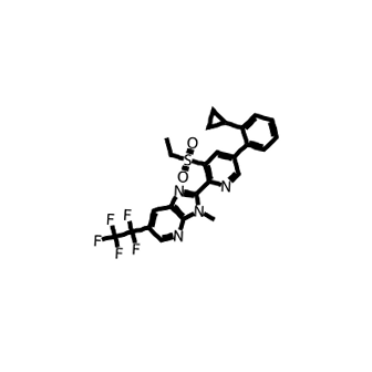 CCS(=O)(=O)c1cc(-c2ccccc2C2CC2)cnc1-c1nc2cc(C(F)(F)C(F)(F)F)cnc2n1C